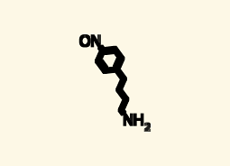 NCCCCc1ccc(N=O)cc1